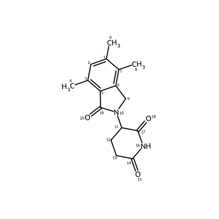 Cc1cc(C)c2c(c1C)CN(C1CCC(=O)NC1=O)C2=O